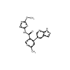 COc1nnc(NC(=O)c2cnc(C)cc2-c2cnc3[nH]ncc3c2)s1